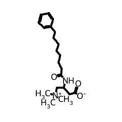 C[N+](C)(C)CC(CC(=O)[O-])NC(=O)CCCCCCCc1ccccc1